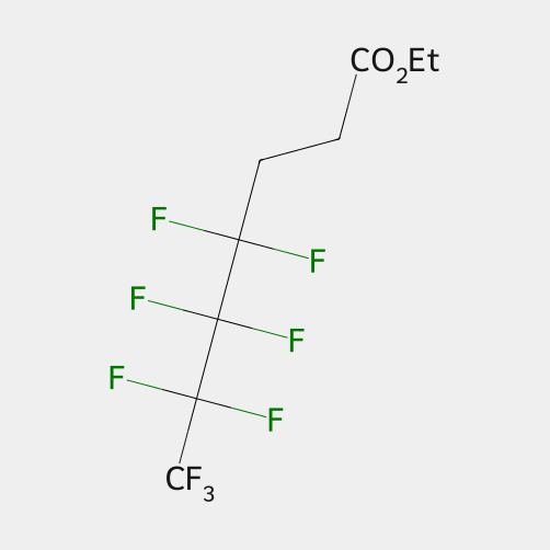 CCOC(=O)CCC(F)(F)C(F)(F)C(F)(F)C(F)(F)F